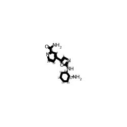 NC(=O)c1cc(-c2cnc(N[C@@H]3CCCC[C@H]3N)o2)ccn1